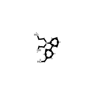 OCCN(CCO)c1ccccc1-c1ccc(CO)cc1